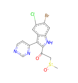 C[S+]([O-])CC(=O)c1[nH]c2cc(Br)c(Cl)cc2c1-c1ccncn1